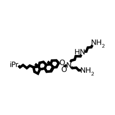 CC(C)CCCCC1CCC2C3CC=C4CC(OC(=O)N(CCCN)CCCCNCCCN)CCC4(C)C3CCC12C